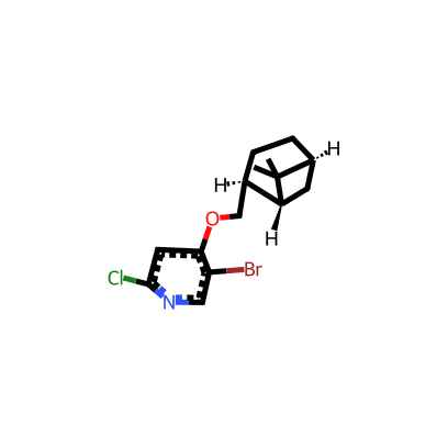 CC1(C)[C@H]2CC[C@H](COc3cc(Cl)ncc3Br)[C@H]1C2